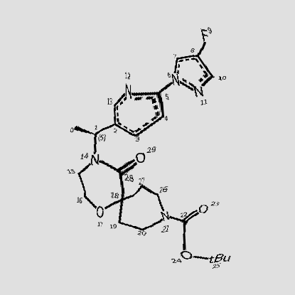 C[C@@H](c1ccc(-n2cc(F)cn2)nc1)N1CCOC2(CCN(C(=O)OC(C)(C)C)CC2)C1=O